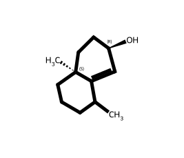 CC1CCC[C@@]2(C)CC[C@@H](O)C=C12